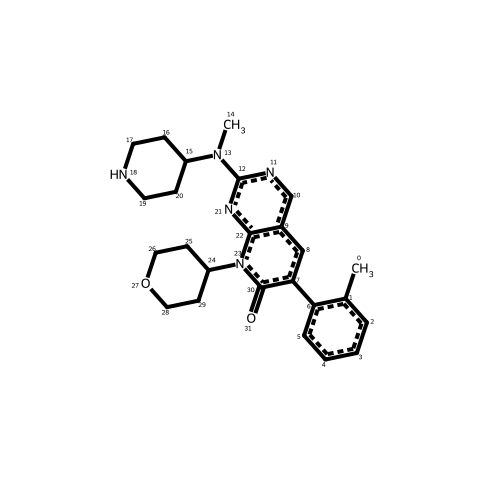 Cc1ccccc1-c1cc2cnc(N(C)C3CCNCC3)nc2n(C2CCOCC2)c1=O